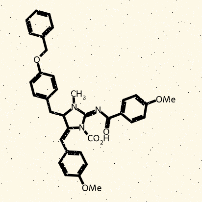 COc1ccc(C=C2C(Cc3ccc(OCc4ccccc4)cc3)N(C)C(=NC(=O)c3ccc(OC)cc3)N2C(=O)O)cc1